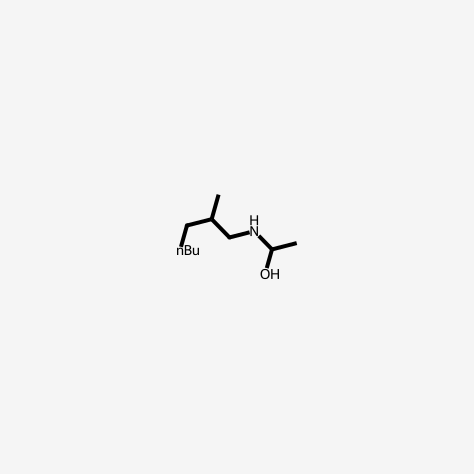 CCCCCC(C)CNC(C)O